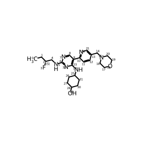 CC[C@H](F)CNc1ncc(-c2ccc(CN3CCOCC3)cn2)c(NC2CCC(O)CC2)n1